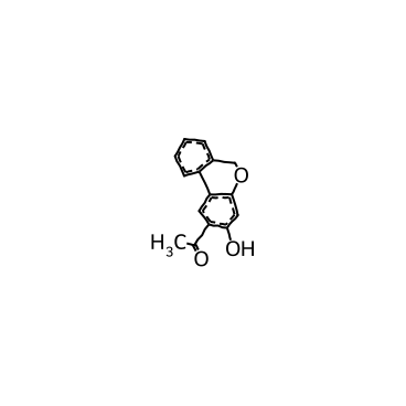 CC(=O)c1cc2c(cc1O)OCc1ccccc1-2